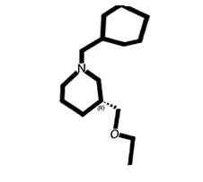 CCOC[C@@H]1CCCN(CC2CCCCC2)C1